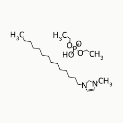 CCCCCCCCCCCCCCN1C=CN(C)C1.CCOP(=O)(O)OCC